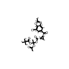 CC(=O)OC(C)(OC(=O)[C@H]1C[C@@H]1C(=O)c1cc(Cl)c2oc(C)nc2c1)OC(=O)C(C)(C)C